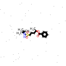 C[C@H](CCCS(=O)(=O)NC(C)(C)C)OC(=O)c1ccccc1